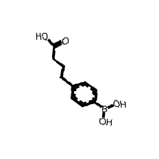 O=C(O)CCCc1ccc(B(O)O)cc1